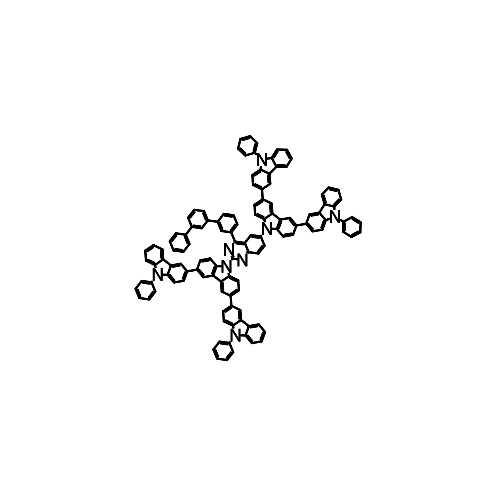 c1ccc(-c2cccc(-c3cccc(-c4nc(-n5c6ccc(-c7ccc8c(c7)c7ccccc7n8-c7ccccc7)cc6c6cc(-c7ccc8c(c7)c7ccccc7n8-c7ccccc7)ccc65)nc5ccc(-n6c7ccc(-c8ccc9c(c8)c8ccccc8n9-c8ccccc8)cc7c7cc(-c8ccc9c(c8)c8ccccc8n9-c8ccccc8)ccc76)cc45)c3)c2)cc1